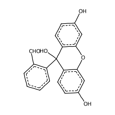 O=Cc1ccccc1C1(O)c2ccc(O)cc2Oc2cc(O)ccc21